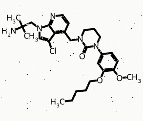 CCCCCOc1cc(N2CCCN(Cc3ccnc4c3c(Cl)cn4CC(C)(C)N)C2=O)ccc1OC